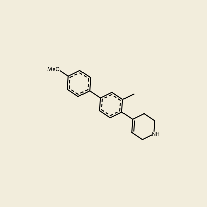 COc1ccc(-c2ccc(C3=CCNCC3)c(C)c2)cc1